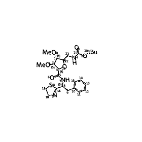 CO[C@H]1[C@H](OC)[C@H](C(=O)N[C@@H](Cc2ccccc2)C2=NCCS2)O[C@@H]1CNC(=O)OC(C)(C)C